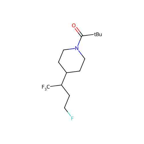 CC(C)(C)C(=O)N1CCC(C(CCF)C(F)(F)F)CC1